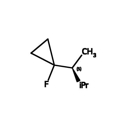 CC(C)[C@H](C)C1(F)CC1